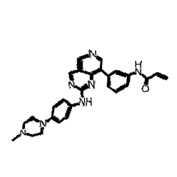 C=CC(=O)Nc1cccc(-c2cncc3cnc(Nc4ccc(N5CCN(C)CC5)cc4)nc23)c1